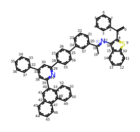 C=C(c1ccccc1)c1sc2ccccc2c1/N=C(\C)c1cccc(-c2ccc(-c3cc(-c4ccccc4)cc(-c4cc5ccccc5c5ccccc45)n3)cc2)c1